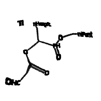 CCCCCCCC(OC(=O)C=O)[PH](=O)OCCCCC.[Ti]